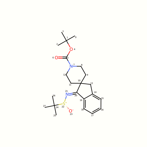 CC(C)(C)OC(=O)N1CCC2(CC1)Cc1ccccc1/C2=N\[S@+]([O-])C(C)(C)C